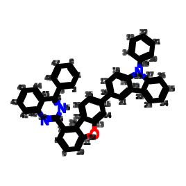 c1ccc(-c2nc(-c3cccc4oc5cc(-c6ccc7c(c6)c6ccccc6n7-c6ccccc6)ccc5c34)nc3ccccc23)cc1